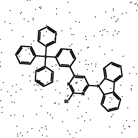 CCc1nc(-c2cccc(S(c3ccccc3)(c3ccccc3)c3ccccc3)c2)cc(-n2c3ccccc3c3ccccc32)n1